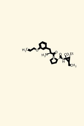 C=CCOc1cccc(C[C@H](N)C(=O)N2CCC[C@H]2C(=O)N[C@]2(C(=O)OCC)CC2C=C)c1